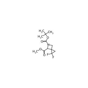 COC(=O)C1N(C(=O)OC(C)(C)C)CC12CC2(F)F